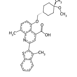 CO[C@]1(C)CC[C@H](COc2ccc(C)c3nc(-c4sc5ccccc5c4C)cc(C(=O)O)c23)CC1